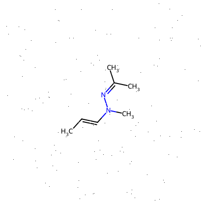 C/C=C/N(C)N=C(C)C